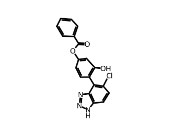 O=C(Oc1ccc(-c2c(Cl)ccc3[nH]nnc23)c(O)c1)c1ccccc1